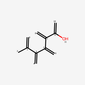 C=C(C)C(=C)C(=C)C(=C)C(=C)O